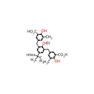 CCCCCCC(C)(C)c1cc(Cc2cc(C)c(O)c(C(=O)O)c2)c(OCC)c(Cc2cc(C)c(O)c(C(=O)O)c2)c1